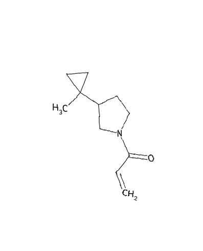 C=CC(=O)N1CCC(C2(C)CC2)C1